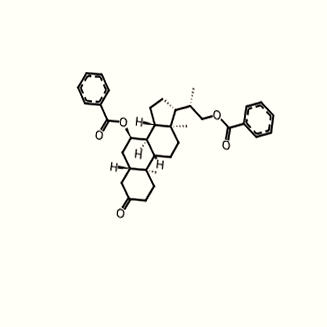 C[C@H](COC(=O)c1ccccc1)[C@H]1CC[C@H]2[C@@H]3[C@H](OC(=O)c4ccccc4)C[C@H]4CC(=O)CC[C@]4(C)[C@H]3CC[C@]12C